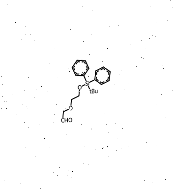 CC(C)(C)[Si](OCCOCC=O)(c1ccccc1)c1ccccc1